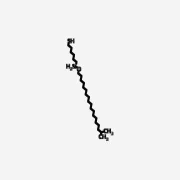 CC(C)CCCCCCCCCCCCCCCCCO[SiH2]CCCCCCS